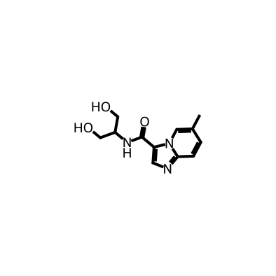 Cc1ccc2ncc(C(=O)NC(CO)CO)n2c1